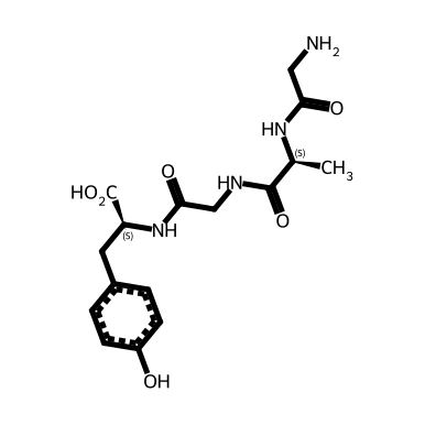 C[C@H](NC(=O)CN)C(=O)NCC(=O)N[C@@H](Cc1ccc(O)cc1)C(=O)O